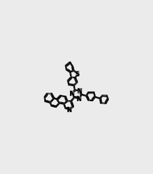 c1ccc(-c2ccc(-c3nc(-c4ccc5c(c4)sc4ccccc45)nc(-c4cncc5c4ccc4c6ccccc6ccc54)n3)cc2)cc1